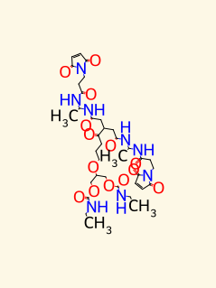 CCNC(=O)OCC(COC(=O)NCC)OCCCC(=O)C(CC(=O)NC(C)NC(=O)CCN1C(=O)C=CC1=O)CC(=O)NC(C)NC(=O)CCN1C(=O)C=CC1=O